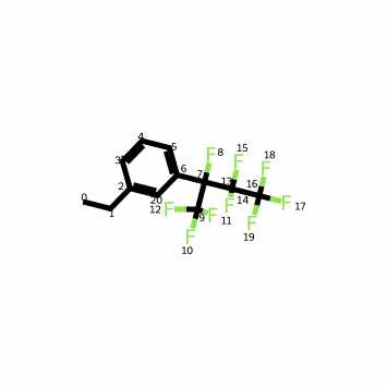 CCc1[c]ccc(C(F)(C(F)(F)F)C(F)(F)C(F)(F)F)c1